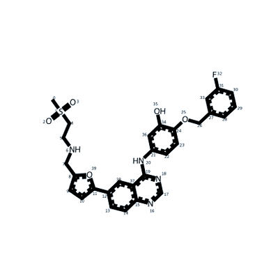 CS(=O)(=O)CCNCc1ccc(-c2ccc3ncnc(Nc4ccc(OCc5cccc(F)c5)c(O)c4)c3c2)o1